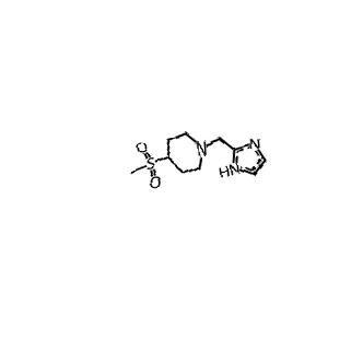 CS(=O)(=O)C1CCN(Cc2ncc[nH]2)CC1